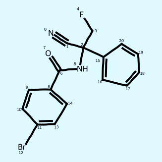 N#CC(CF)(NC(=O)c1ccc(Br)cc1)c1ccccc1